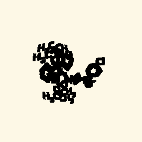 CC(C)(C)OC(=O)N[C@@H](CCN1CC([S+]([O-])c2ccc(Cl)cc2)C1)C(O[SiH2]C(C)(C)C)(c1ccccc1)c1ccccc1